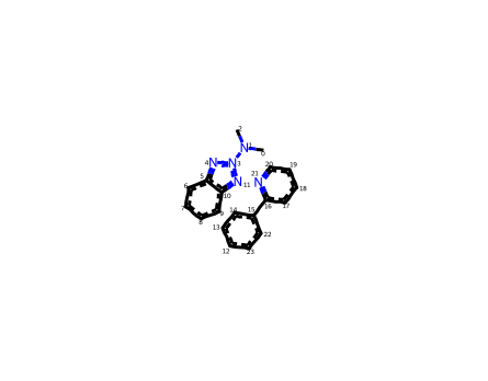 CN(C)n1nc2ccccc2n1.c1ccc(-c2ccccn2)cc1